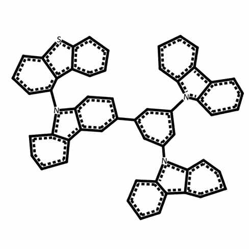 c1ccc2c(c1)sc1cccc(-n3c4ccccc4c4cc(-c5cc(-n6c7ccccc7c7ccccc76)cc(-n6c7ccccc7c7ccccc76)c5)ccc43)c12